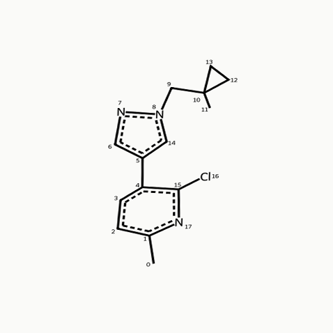 Cc1ccc(-c2cnn(CC3(C)CC3)c2)c(Cl)n1